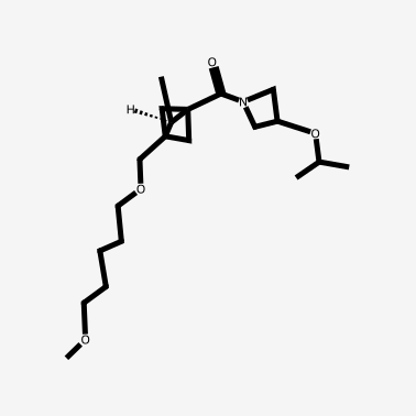 COCCCCCOCC12CC(C(=O)N3CC(OC(C)C)C3)(C1)[C@@H]2C